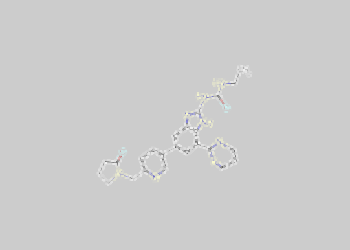 CCNC(=O)Nc1nc2cc(-c3ccc(CN4CCCC4=O)nc3)cc(-c3ncccn3)c2[nH]1